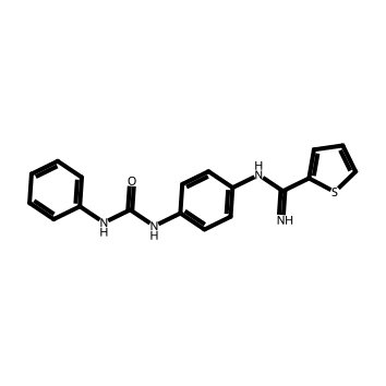 N=C(Nc1ccc(NC(=O)Nc2ccccc2)cc1)c1cccs1